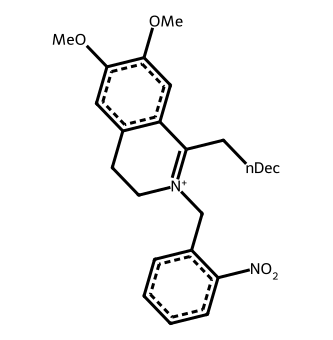 CCCCCCCCCCCC1=[N+](Cc2ccccc2[N+](=O)[O-])CCc2cc(OC)c(OC)cc21